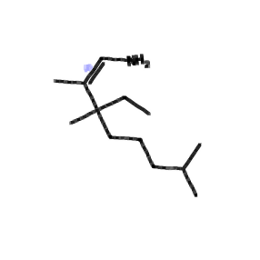 CCC(C)(CCCC(C)C)/C(C)=C\N